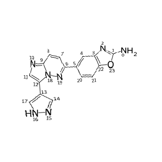 Nc1nc2cc(-c3ccc4ncc(-c5cn[nH]c5)n4n3)ccc2o1